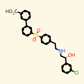 O=C(O)c1cccc(-c2cccc(S(=O)(=O)c3ccc(CCNC[C@H](O)c4cccc(Cl)c4)cc3)c2)c1